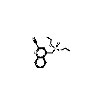 CCOP(=O)(Cc1cc(C#N)nc2ccccc12)OCC